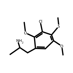 COc1cc(CC(C)N)c(OC)c(Cl)c1SC